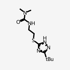 CN(C)C(=O)NCCSc1nc(C(C)(C)C)n[nH]1